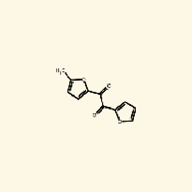 Cc1ccc(C(=O)C(=O)c2ccco2)o1